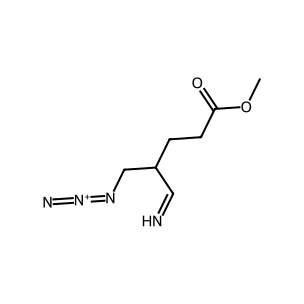 COC(=O)CCC(C=N)CN=[N+]=[N-]